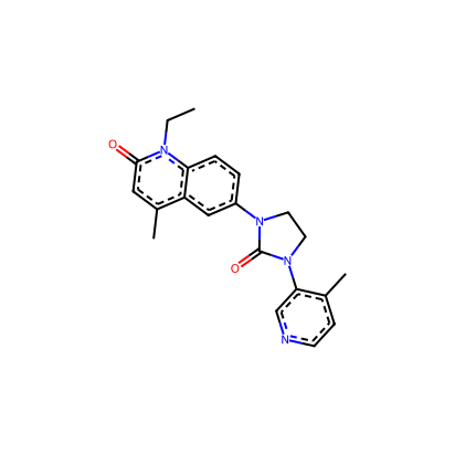 CCn1c(=O)cc(C)c2cc(N3CCN(c4cnccc4C)C3=O)ccc21